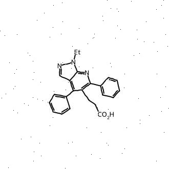 CCn1ncc2c(-c3ccccc3)c(CCC(=O)O)c(-c3ccccc3)nc21